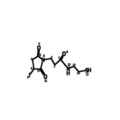 O=C(CCN1C(=O)CC(I)C1=O)NCCS